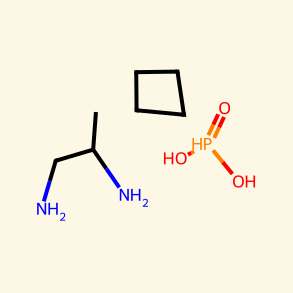 C1CCC1.CC(N)CN.O=[PH](O)O